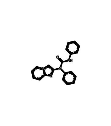 O=C(Nc1ccccc1)N(c1ccccc1)c1cn2ccccc2n1